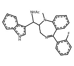 CC(=O)NC(c1c[nH]c2ccccc12)C1CN=C(c2ccccc2F)c2ccccc2N1C